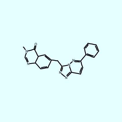 CN1C=NC2C=CC(Cc3nnc4ccc(-c5ccccc5)nn34)=CC2C1=O